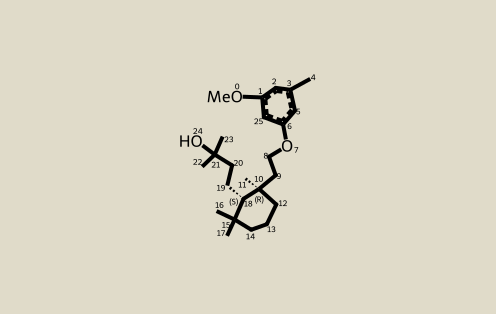 COc1cc(C)cc(OCC[C@@]2(C)CCCC(C)(C)[C@@H]2CCC(C)(C)O)c1